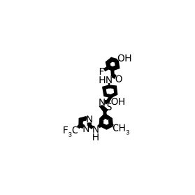 Cc1cc(Nc2nccc(C(F)(F)F)n2)cc(-c2cnc([C@]3(O)CC[C@@H](NC(=O)c4cc(O)ccc4F)CC3)s2)c1